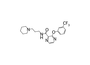 O=C(NCCCN1CCCCC1)c1nccnc1Oc1cccc(C(F)(F)F)c1